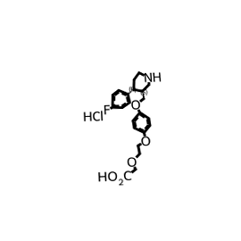 Cl.O=C(O)COCCOc1ccc(OC[C@@H]2CNCC[C@H]2c2ccc(F)cc2)cc1